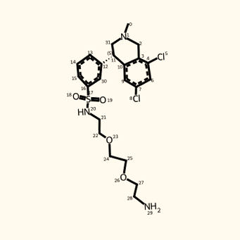 CN1Cc2c(Cl)cc(Cl)cc2[C@H](c2cccc(S(=O)(=O)NCCOCCOCCN)c2)C1